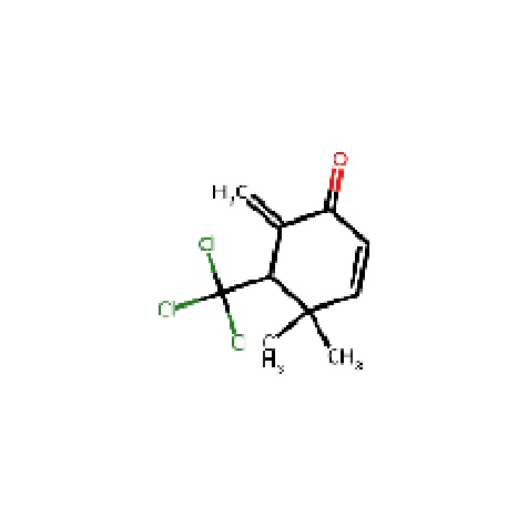 C=C1C(=O)C=CC(C)(C)C1C(Cl)(Cl)Cl